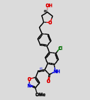 COc1cc(/C=C2\C(=O)Nc3cc(Cl)c(-c4ccc(CC5C[C@H](O)CO5)cc4)cc32)on1